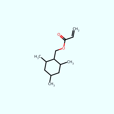 C=CC(=O)OCC1C(C)CC(C)CC1C